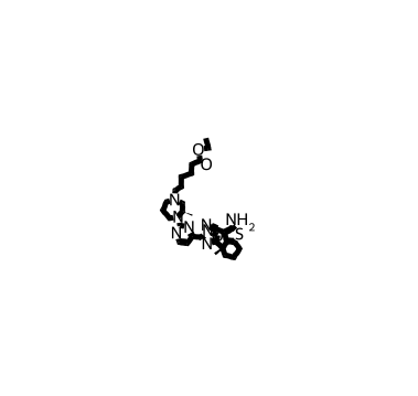 CCOC(=O)CCCCCN1CCCN(c2nccc(-c3noc([C@@]4(C)CCCc5sc(N)c(C#N)c54)n3)n2)[C@@H](C)C1